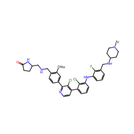 COc1cc(-c2nccc(-c3cccc(Nc4cccc(CNC5CCN(C(C)=O)CC5)c4F)c3Cl)c2Cl)ccc1CNCC1CCC(=O)N1